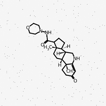 C[C@]12CCC(=O)C=C1NC[C@@H]1[C@H]2CC[C@]2(C)C(C(=O)NN3CCOCC3)CC[C@@H]12